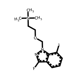 C[Si](C)(C)CCOCn1nc(F)c2cccc(I)c21